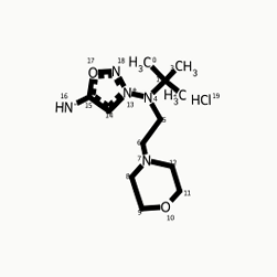 CC(C)(C)N(CCN1CCOCC1)[n+]1cc([NH-])on1.Cl